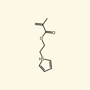 C=C(C)C(=O)OCC[SH]1C=CC=C1